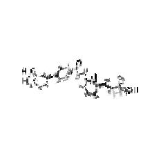 C=C/C=C(\C=C/C)N1CCN(C(=O)/C=C/c2cccc(/C=C/C(=O)NO)n2)CC1